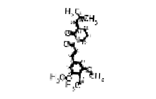 COc1cc(C=CC(=O)N2CCCC(=CC(C)C)C2=O)cc(OC)c1OC